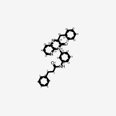 O=C(CCc1ccccc1)Nc1cccc(-n2c(=O)c(Cc3ccccc3)nc3cccnc32)c1